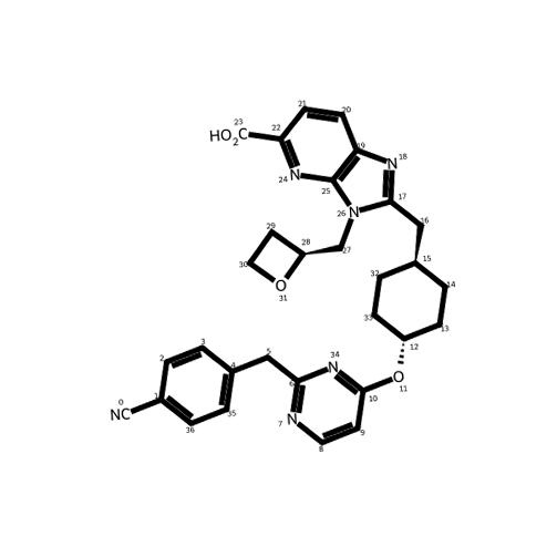 N#Cc1ccc(Cc2nccc(O[C@H]3CC[C@H](Cc4nc5ccc(C(=O)O)nc5n4C[C@@H]4CCO4)CC3)n2)cc1